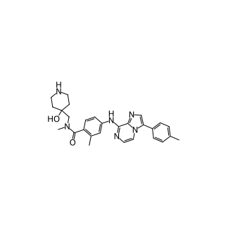 Cc1ccc(-c2cnc3c(Nc4ccc(C(=O)N(C)CC5(O)CCNCC5)c(C)c4)nccn23)cc1